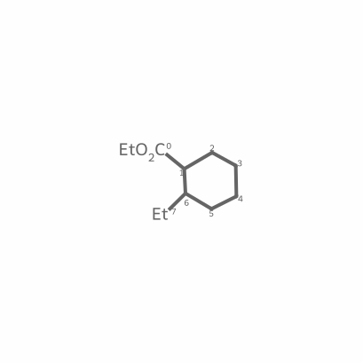 CCOC(=O)C1CCCCC1CC